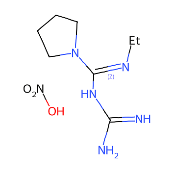 CC/N=C(/NC(=N)N)N1CCCC1.O=[N+]([O-])O